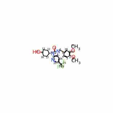 COc1ccc(Cn2c(=O)n([C@H]3CC[C@H](O)CC3)c3ncc(C(F)(F)F)cc32)cc1OC